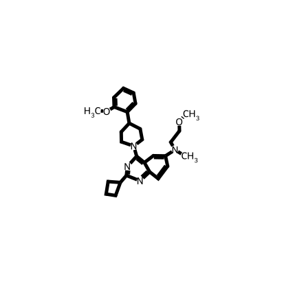 COCCN(C)c1ccc2nc(C3CCC3)nc(N3CCC(c4ccccc4OC)CC3)c2c1